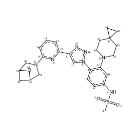 CS(=O)(=O)Nc1ccc(-n2cc(-c3cccc(N4CC5CC(C4)O5)n3)nn2)c(N2CCC3(CC2)CC3)c1